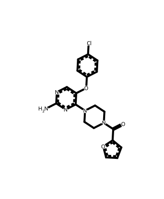 Nc1ncc(Oc2ccc(Cl)cc2)c(N2CCN(C(=O)c3ccco3)CC2)n1